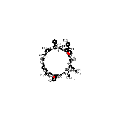 CCCC[C@H]1C(=O)N(C)[C@@H](CCCC)C(=O)NC(CCCNC(=N)N)C(=O)N[C@H](C(=O)NCC(N)=O)CSCC(=O)N[C@@H](Cc2ccc(O)cc2)C(=O)N(C)[C@@H](C)C(=O)N[C@@H](CC(N)=O)C(=O)N2CCC[C@H]2C(=O)N[C@@H](CN)C(=O)N[C@@H](CC(C)C)C(=O)N2C[C@H](O)C[C@H]2C(=O)N[C@@H](Cc2c[nH]c3ccccc23)C(=O)N[C@@H](CO)C(=O)N[C@@H](Cc2c(-c3ccc(OCC)cc3)[nH]c3ccccc23)C(=O)N1C